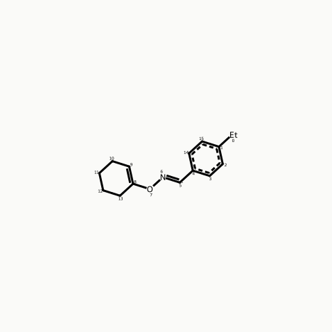 CCc1ccc([C]=NOC2=CCCCC2)cc1